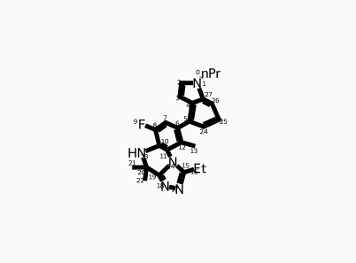 CCCn1ccc2c(-c3cc(F)c4c(c3C)-n3c(CC)nnc3C(C)(C)N4)cccc21